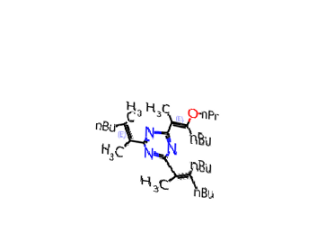 CCCCC(CCCC)=C(C)c1nc(/C(C)=C(\C)CCCC)nc(/C(C)=C(\CCCC)OCCC)n1